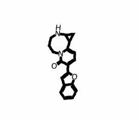 O=c1c(-c2cc3ccccc3o2)ccc2n1CCCNC1CC21